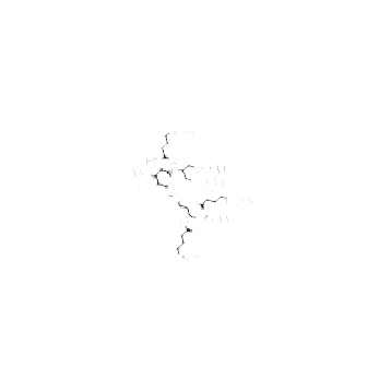 CCCCCCCCCCCCCC(=O)N[C@H]1[C@@H](OC(CC(=O)O)CC(=O)O)O[C@H](COC(=O)C(OC(=O)CCCCCCCCCCCCC)C(OC(=O)CCCCCCCCCCCCC)C(=O)O)[C@@H](O)[C@@H]1O